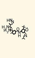 C=C(/C=N\NC)/C(N)=C/N(N)c1cc(C(=O)Nc2cc(CN(C)CC(C)C)c(OC)c(C(C)(C)C)c2)ccc1C